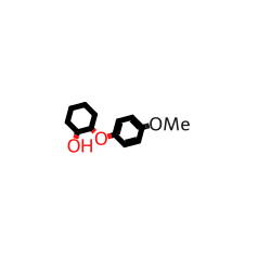 COc1ccc(OC2CCCCC2O)cc1